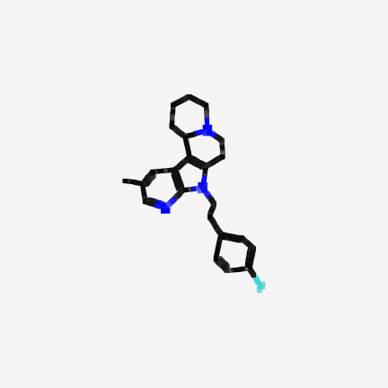 Cc1cnc2c(c1)c1c(n2CCc2ccc(F)cc2)CCN2CCCCC12